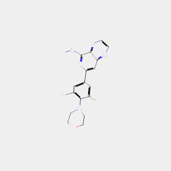 CNc1nc(-c2cc(F)c(N3CCOCC3)c(F)c2)cc2nccnc12